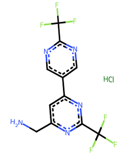 Cl.NCc1cc(-c2cnc(C(F)(F)F)nc2)nc(C(F)(F)F)n1